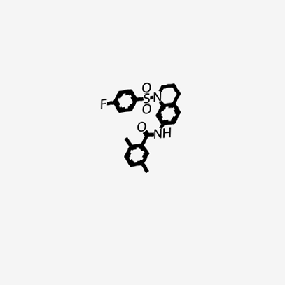 Cc1ccc(C)c(C(=O)Nc2ccc3c(c2)N(S(=O)(=O)c2ccc(F)cc2)CCC3)c1